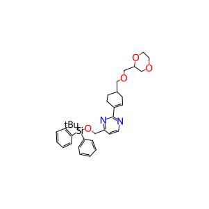 CC(C)(C)[Si](OCc1ccnc(C2=CCC(COCC3COCCO3)CC2)n1)(c1ccccc1)c1ccccc1